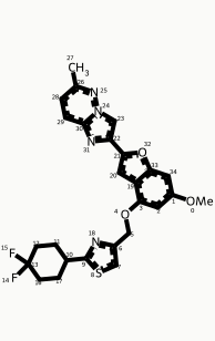 COc1cc(OCc2csc(C3CCC(F)(F)CC3)n2)c2cc(-c3cn4nc(C)ccc4n3)oc2c1